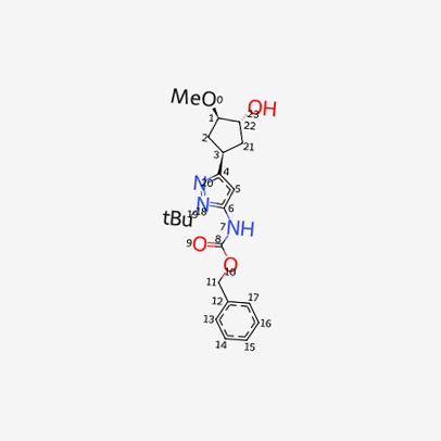 CO[C@@H]1C[C@H](c2cc(NC(=O)OCc3ccccc3)n(C(C)(C)C)n2)C[C@H]1O